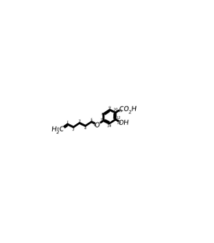 C=CCCCCOc1ccc(C(=O)O)c(O)c1